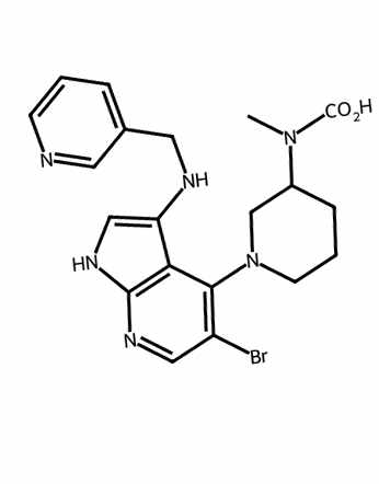 CN(C(=O)O)C1CCCN(c2c(Br)cnc3[nH]cc(NCc4cccnc4)c23)C1